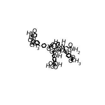 Cn1c(=O)n(C2CCC(=O)NC2=O)c2ccc(C[C@H]3CC[C@@H](CC(=O)N4CC[C@H]5CC[C@@H](C(=O)N[C@@H](CCC(N)=O)C(=O)NCc6ccc(S(C)(=O)=O)cc6)N5C(=O)[C@@H](NC(=O)c5cc6cc(C(=O)P(=O)(O)O)ccc6[nH]5)C4)CC3)cc21